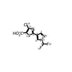 O=C(O)c1sc(-c2cnn(C(F)F)c2)nc1Cl